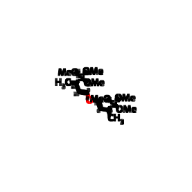 CO[Si](OC)(OC)C(C)/C=C/O/C=C/C(C)[Si](OC)(OC)OC